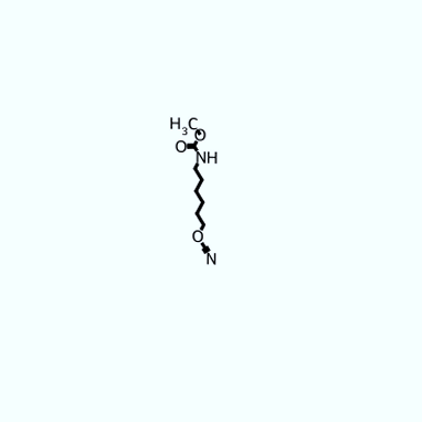 COC(=O)NCCCCCCOC#N